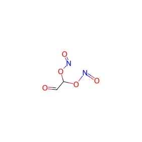 O=CC(ON=O)ON=O